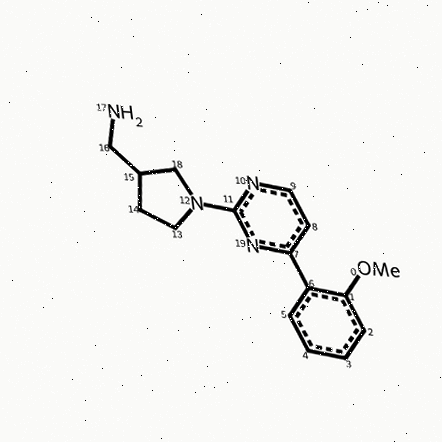 COc1ccccc1-c1ccnc(N2CCC(CN)C2)n1